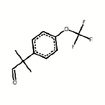 CC(C)(C=O)c1ccc(OC(F)(F)F)cc1